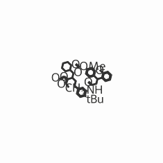 COC(=O)OC(C1CCCCC1)C(CCc1ccc(C(C)(C)C)c(NC(=O)CC2c3ccccc3Oc3ccccc32)c1)c1oc(=O)oc1C